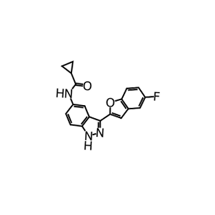 O=C(Nc1ccc2[nH]nc(-c3cc4cc(F)ccc4o3)c2c1)C1CC1